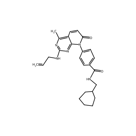 C=CCNc1nc(C)c2ccc(=O)n(-c3ccc(C(=O)NCC4CCCCC4)cc3)c2n1